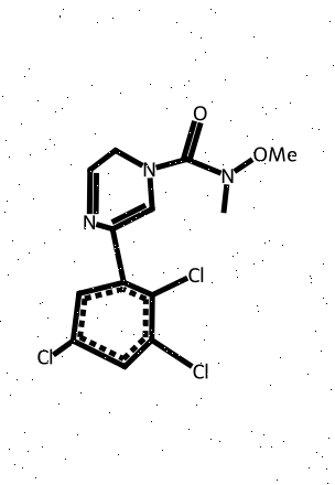 CON(C)C(=O)N1C=C(c2cc(Cl)cc(Cl)c2Cl)N=CC1